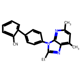 CCc1nc2c(C)cc(C)nc2n1-c1ccc(-c2ccccc2C#N)cc1